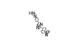 CN(C)[S+]([O-])c1cccc2c(-c3cnn4cc(-c5ccc(N6CCNCC6)cc5)cnc34)cccc12